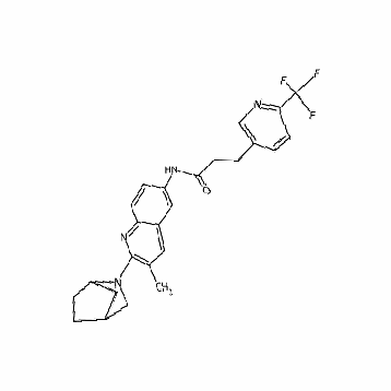 Cc1cc2cc(NC(=O)CCc3ccc(C(F)(F)F)nc3)ccc2nc1N1CC2CCC1C2